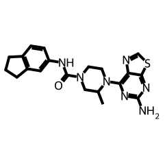 CC1CN(C(=O)Nc2ccc3c(c2)CCC3)CCN1c1nc(N)nc2scnc12